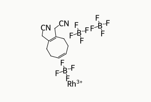 F[B-](F)(F)F.F[B-](F)(F)F.F[B-](F)(F)F.N#CC/C1=C(\CC#N)CC/C=C\CC1.[Rh+3]